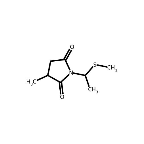 CSC(C)N1C(=O)CC(C)C1=O